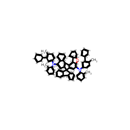 Cc1ccc(N(c2ccccc2C)c2cc3c(c4c2oc2ccccc24)-c2c(cc(N(c4ccc(C)c(C5C=CC=CC5)c4)c4ccccc4C)c4ccccc24)C32c3ccccc3-c3ccccc32)cc1-c1ccccc1